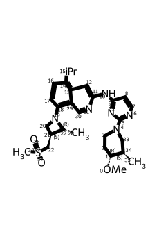 CO[C@@H]1CCN(c2nccc(Nc3cc4c(C(C)C)ccc(N5C[C@H](CS(C)(=O)=O)[C@H]5C)c4cn3)n2)C[C@@H]1C